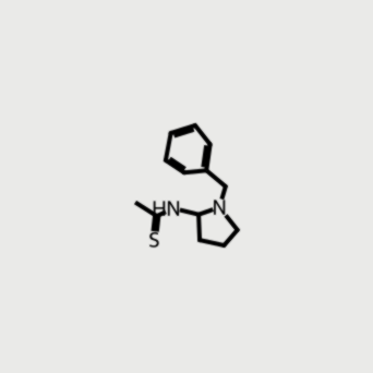 CC(=S)NC1CCCN1Cc1ccccc1